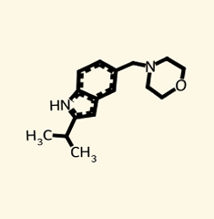 CC(C)c1cc2cc(CN3CCOCC3)ccc2[nH]1